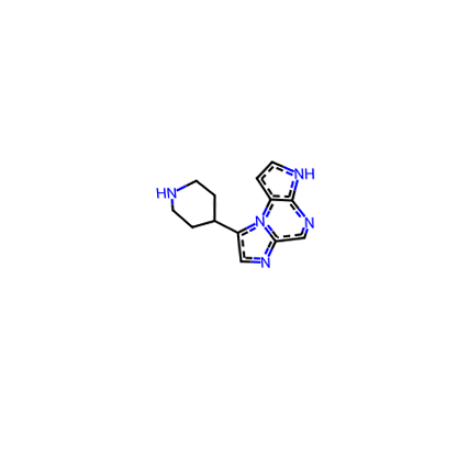 c1cc2c(ncc3ncc(C4CCNCC4)n32)[nH]1